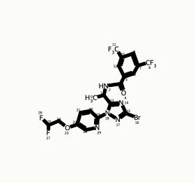 CC(NC(=O)c1cc(C(F)(F)F)cc(C(F)(F)F)c1)c1nc(Br)nn1-c1ccc(OCC(F)F)cn1